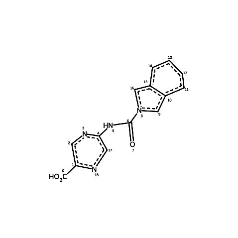 O=C(O)c1cnc(NC(=O)n2cc3ccccc3c2)cn1